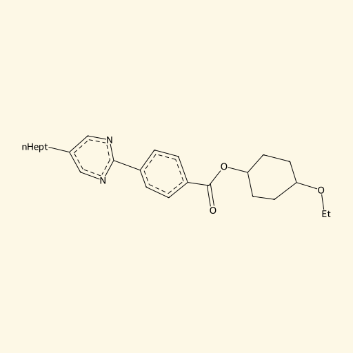 CCCCCCCc1cnc(-c2ccc(C(=O)OC3CCC(OCC)CC3)cc2)nc1